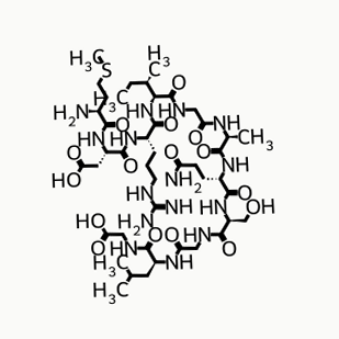 CC[C@H](C)[C@H](NC(=O)[C@H](CCCNC(=N)N)NC(=O)[C@H](CC(=O)O)NC(=O)[C@@H](N)CCSC)C(=O)NCC(=O)N[C@@H](C)C(=O)N[C@@H](CCC(N)=O)C(=O)N[C@@H](CO)C(=O)NCC(=O)N[C@@H](CC(C)C)C(=O)NCC(=O)O